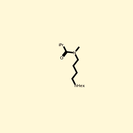 CCCCCCCCCCN(C)C(=O)C(C)C